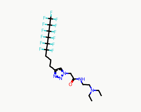 CCN(CC)CCNC(=O)Cn1cc(CCCC(F)(F)C(F)(F)C(F)(F)C(F)(F)C(F)(F)C(F)(F)F)nn1